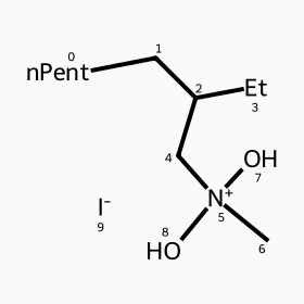 CCCCCCC(CC)C[N+](C)(O)O.[I-]